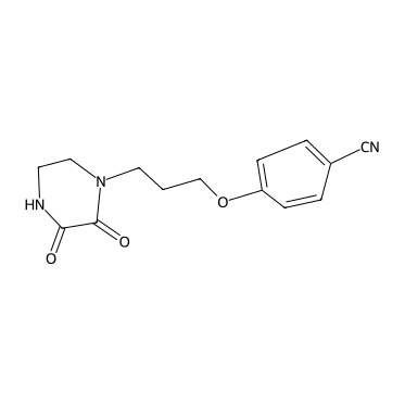 N#Cc1ccc(OCCCN2CCNC(=O)C2=O)cc1